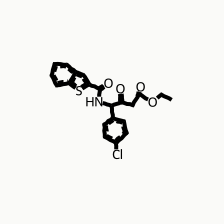 CCOC(=O)CC(=O)C(NC(=O)c1cc2ccccc2s1)c1ccc(Cl)cc1